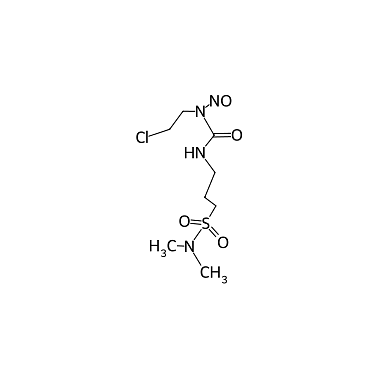 CN(C)S(=O)(=O)CCCNC(=O)N(CCCl)N=O